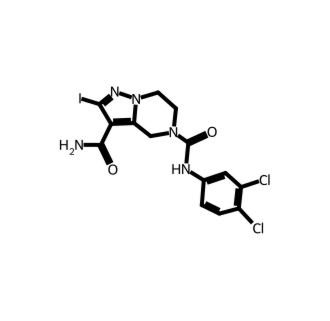 NC(=O)c1c(I)nn2c1CN(C(=O)Nc1ccc(Cl)c(Cl)c1)CC2